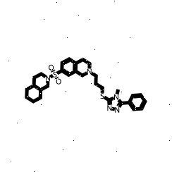 Cn1c(SCCCN2CCc3ccc(S(=O)(=O)N4CCC5CCCCC5C4)cc3C2)nnc1-c1ccccc1